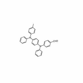 Cc1ccc(N(c2ccccc2)c2ccc(N(c3ccccc3)c3ccc(C=O)cc3)cc2)cc1